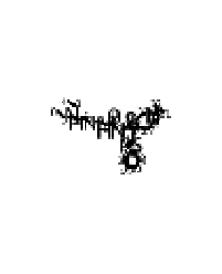 CCN(CC)CCNCCC(=O)Nc1sc2c(c1-c1nc3ccccc3s1)CCN(C(C)C)C2